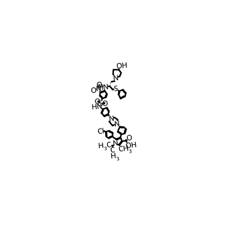 Cc1c(C(=O)O)c(-c2cccc(N3CCN(c4ccc(NS(=O)(=O)c5ccc(N[C@H](CCN6CCC(O)CC6)CSc6ccccc6)c([N+](=O)[O-])c5)cc4)CC3)c2)c(-c2ccc(Cl)cc2)n1C(C)C